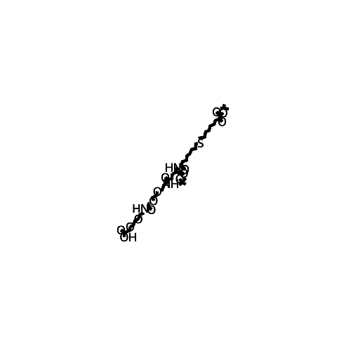 CC(C)(C)OC(=O)C(=O)CCCCCCCSCCCCCCCC(=O)NC(CCC(=O)NCCOCCOCC(=O)NCCOCCOCC(=O)O)C(=O)OC(C)(C)C